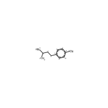 CCCCC(C)CCc1ccc(C#N)cc1